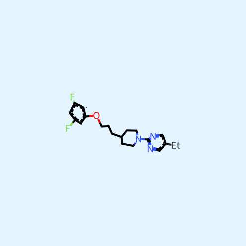 CCc1cnc(N2CCC(CCCOc3[c]c(F)cc(F)c3)CC2)nc1